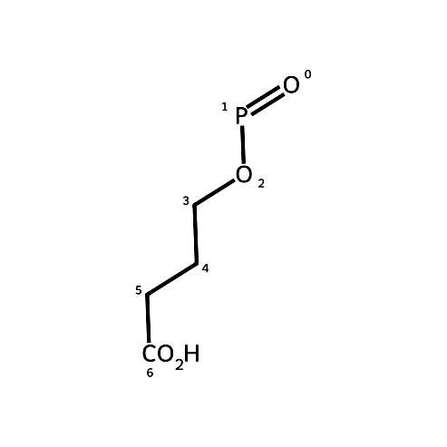 O=POCCCC(=O)O